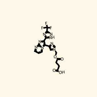 O=C(O)CCC(=O)OCn1cnc(-c2c(-c3nc(C(F)(F)F)n[nH]3)nc3ncccn23)c1